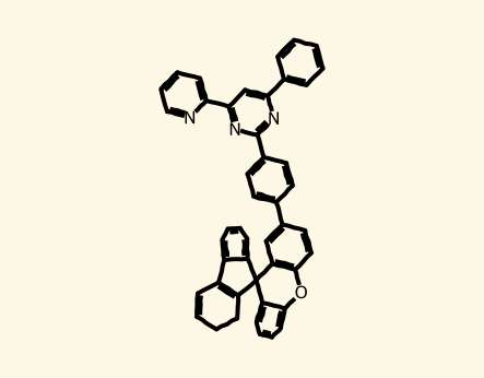 C1=CC2=C(CC1)C1(c3ccccc3Oc3ccc(-c4ccc(-c5nc(-c6ccccc6)cc(-c6ccccn6)n5)cc4)cc31)c1ccccc12